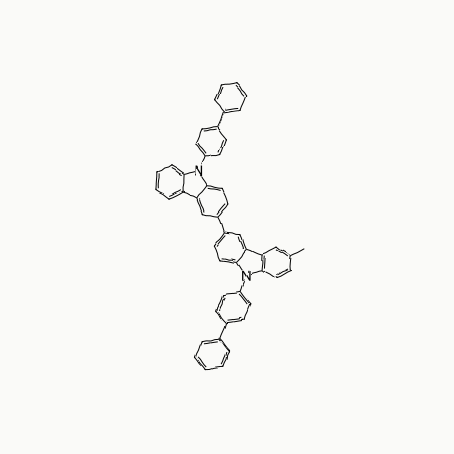 Cc1ccc2c(c1)c1cc(-c3ccc4c(c3)c3ccccc3n4-c3ccc(-c4ccccc4)cc3)ccc1n2-c1ccc(-c2ccccc2)cc1